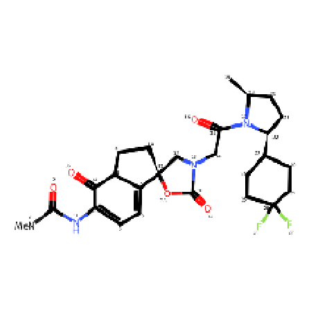 CNC(=O)NC1=CC=C2C(CC[C@]23CN(CC(=O)N2[C@@H](C)CC[C@H]2C2CCC(F)(F)CC2)C(=O)O3)C1=O